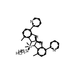 CCC1=Cc2c(-c3ccccn3)ccc(C)c2[CH]1[Zr]([CH3])([CH3])(=[SiH2])[CH]1C(CC)=Cc2c(-c3ccccn3)ccc(C)c21.Cl.Cl